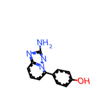 Nc1nc2cccc(-c3ccc(O)cc3)n2n1